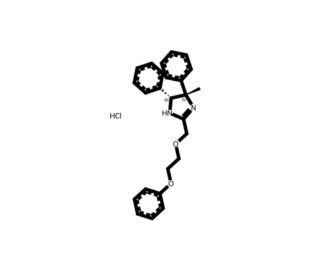 C[C@@]1(c2ccccc2)N=C(COCCOc2ccccc2)N[C@@H]1c1ccccc1.Cl